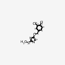 CSc1nsc(OCc2ccc(Cl)c(Cl)c2)n1